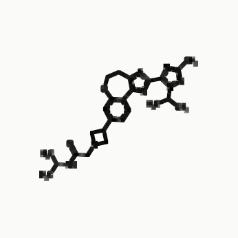 Cc1nc(-c2nc3c(s2)CCOc2cc(C4CN(CC(=O)NC(C)C)C4)ccc2-3)n(C(C)C)n1